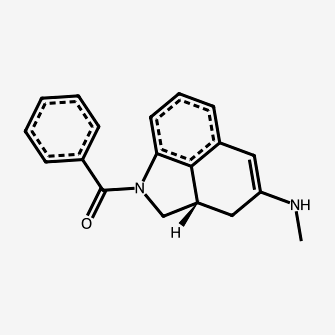 CNC1=Cc2cccc3c2[C@H](C1)CN3C(=O)c1ccccc1